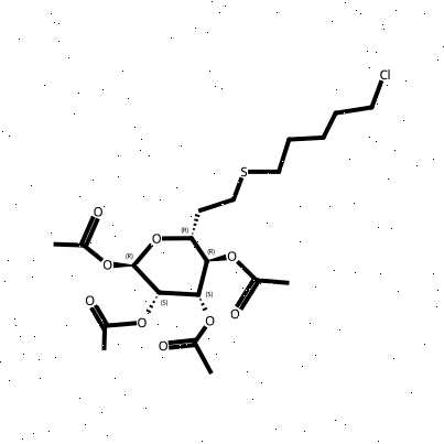 CC(=O)O[C@H]1O[C@H](CCSCCCCCCl)[C@@H](OC(C)=O)[C@H](OC(C)=O)[C@@H]1OC(C)=O